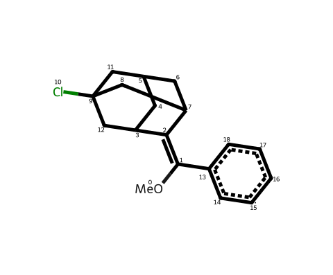 COC(=C1C2CC3CC1CC(Cl)(C3)C2)c1c[c]ccc1